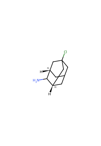 NC1[C@H]2CC3C[C@H]1CC(Cl)(C3)C2